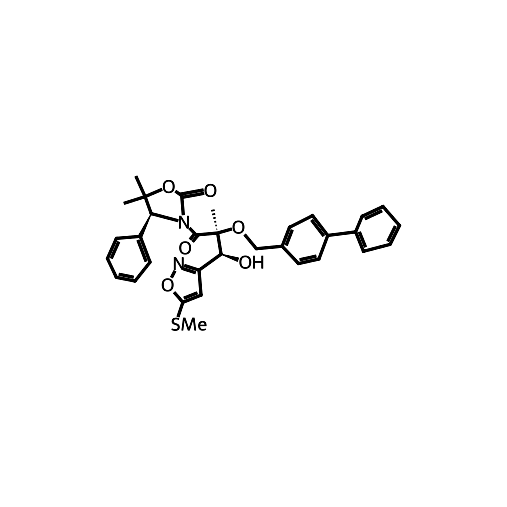 CSc1cc([C@H](O)[C@](C)(OCc2ccc(-c3ccccc3)cc2)C(=O)N2C(=O)OC(C)(C)[C@@H]2c2ccccc2)no1